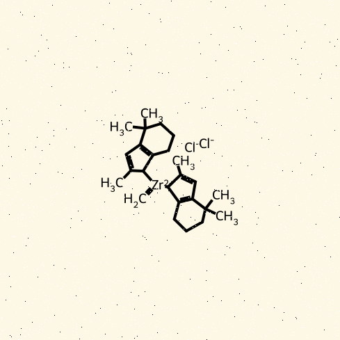 [CH2]=[Zr+2]([CH]1C(C)=CC2=C1CCCC2(C)C)[CH]1C(C)=CC2=C1CCCC2(C)C.[Cl-].[Cl-]